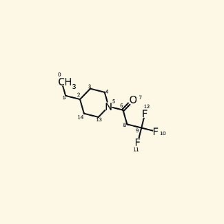 C[CH]C1CCN(C(=O)CC(F)(F)F)CC1